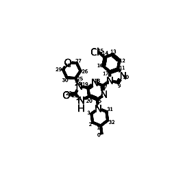 CC1CCN(c2nc(-n3cnc4ccc(Cl)cc43)nc3c2[nH]c(=O)n3C2CCOCC2)CC1